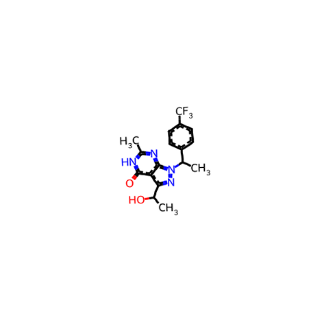 Cc1nc2c(c(C(C)O)nn2C(C)c2ccc(C(F)(F)F)cc2)c(=O)[nH]1